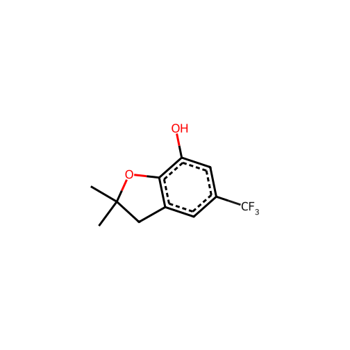 CC1(C)Cc2cc(C(F)(F)F)cc(O)c2O1